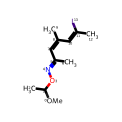 COC(C)O/N=C(C)/C=C(C)\C=C(\C)I